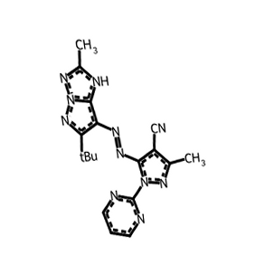 Cc1nn2nc(C(C)(C)C)c(/N=N/c3c(C#N)c(C)nn3-c3ncccn3)c2[nH]1